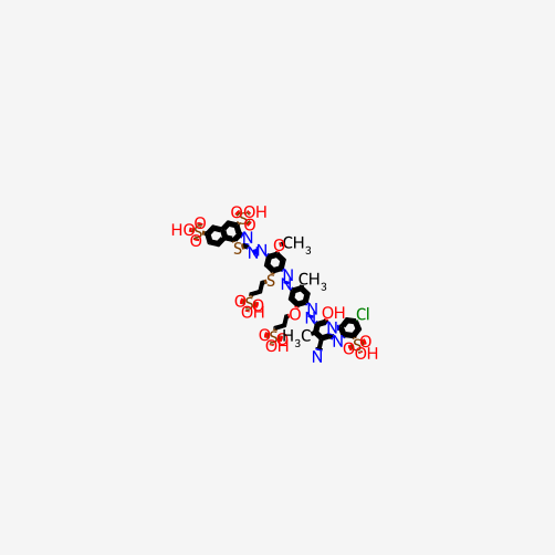 COc1cc(N=Nc2cc(OCCCS(=O)(=O)O)c(N=Nc3c(C)c(C#N)c4nc5c(S(=O)(=O)O)cc(Cl)cc5n4c3O)cc2C)c(SCCCS(=O)(=O)O)cc1N=Nc1nc2c(S(=O)(=O)O)cc3cc(S(=O)(=O)O)ccc3c2s1